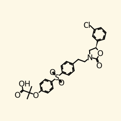 CC(C)(Oc1ccc(S(=O)(=O)c2ccc(CCN3C[C@@H](c4cccc(Cl)c4)OC3=O)cc2)cc1)C(=O)O